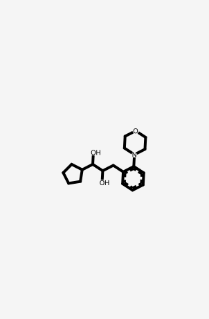 OC(Cc1ccccc1N1CCOCC1)C(O)C1CCCC1